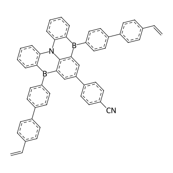 C=Cc1ccc(-c2ccc(B3c4ccccc4N4c5ccccc5B(c5ccc(-c6ccc(C=C)cc6)cc5)c5cc(-c6ccc(C#N)cc6)cc3c54)cc2)cc1